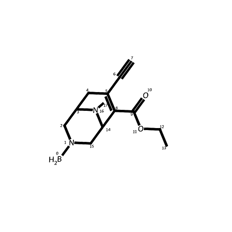 BN1CC2CC(C#C)=C(C(=O)OCC)C(C1)N2C